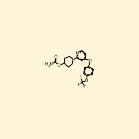 NC(=O)OC1CCN(c2cc(Oc3ccc(OC(F)(F)F)cc3)ccn2)CC1